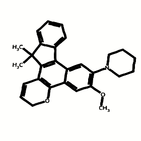 COc1cc2c3c(c4c(c2cc1N1CCCCC1)-c1ccccc1C4(C)C)C=CCO3